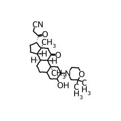 CC1(C)CN(C2C[C@@]3(C)C(CC[C@H]4[C@@H]5CC[C@H](C(=O)CC#N)[C@@]5(C)CC(=O)[C@@H]43)CC2O)CCO1